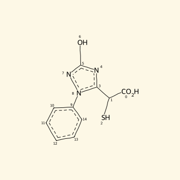 O=C(O)C(S)c1nc(O)nn1-c1ccccc1